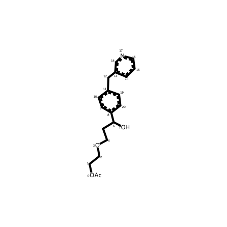 CC(=O)OCCOCCC(O)c1ccc(Cc2cccnc2)cc1